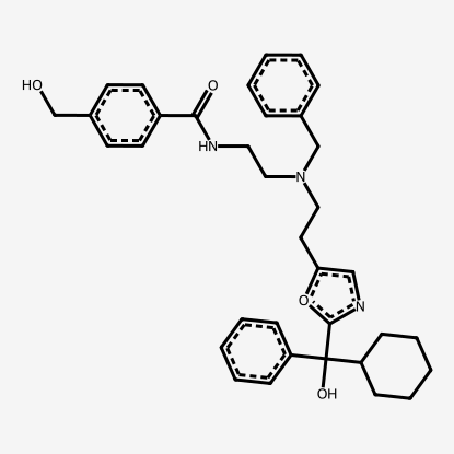 O=C(NCCN(CCc1cnc(C(O)(c2ccccc2)C2CCCCC2)o1)Cc1ccccc1)c1ccc(CO)cc1